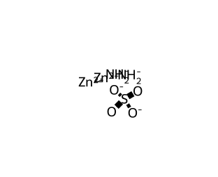 O=S(=O)([O-])[O-].[NH2-].[NH2-].[Zn+2].[Zn+2]